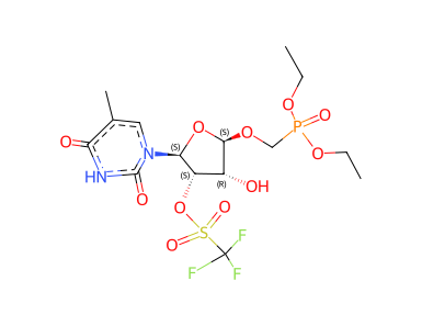 CCOP(=O)(CO[C@@H]1O[C@H](n2cc(C)c(=O)[nH]c2=O)[C@@H](OS(=O)(=O)C(F)(F)F)[C@H]1O)OCC